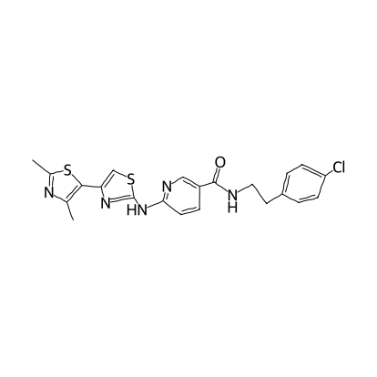 Cc1nc(C)c(-c2csc(Nc3ccc(C(=O)NCCc4ccc(Cl)cc4)cn3)n2)s1